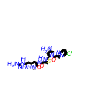 CNC(=O)C(CCCCNC(=N)N)NC(=O)c1csc([C@H]2C[C@@H](N)CN2C(=O)c2cn3cc(Cl)ccc3n2)n1